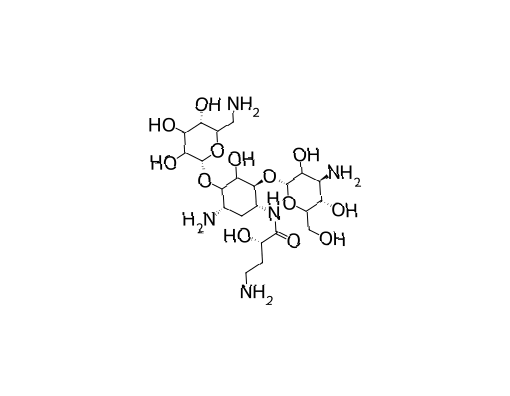 NCC[C@H](O)C(=O)N[C@@H]1C[C@H](N)C(O[C@H]2OC(CN)[C@@H](O)C(O)C2O)C(O)[C@H]1O[C@H]1OC(CO)[C@@H](O)[C@H](N)C1O